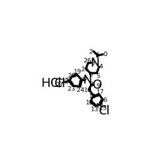 CC(C)N1CCC(N(C(=O)Cc2ccc(Cl)cc2)c2ccc(Cl)cc2)CC1.Cl